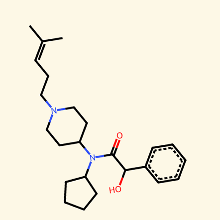 CC(C)=CCCN1CCC(N(C(=O)C(O)c2ccccc2)C2CCCC2)CC1